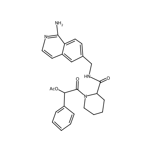 CC(=O)OC(C(=O)N1CCCCC1C(=O)NCc1ccc2c(N)nccc2c1)c1ccccc1